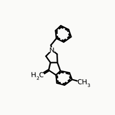 C=C1c2ccc(C)cc2C2CN(Cc3ccccc3)CC12